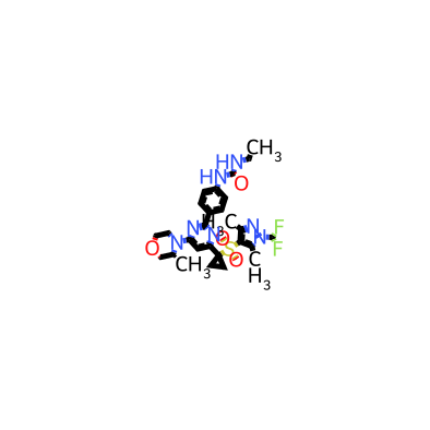 CCNC(=O)Nc1ccc(-c2nc(N3CCOC[C@@H]3C)cc(C3(S(=O)(=O)c4c(C)nn(C(F)F)c4C)CC3)n2)cc1